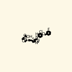 CC1(C)OC[C@@H](C#Cc2cc3ncnc(Nc4ccc(OCc5cccc(F)c5)c(Cl)c4)c3s2)N1C(=O)O